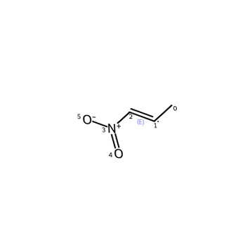 C/[C]=C/[N+](=O)[O-]